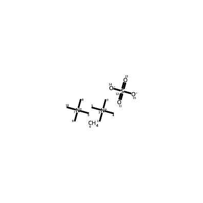 C.C[N+](C)(C)C.C[N+](C)(C)C.O=S(=O)([O-])[O-]